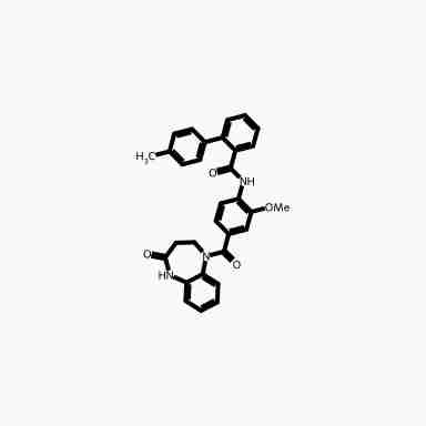 COc1cc(C(=O)N2CCC(=O)Nc3ccccc32)ccc1NC(=O)c1ccccc1-c1ccc(C)cc1